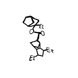 CCC1CC(CC)C2C3CC(CC3C(=O)OC3(CC)CC4CCC3C4)C12